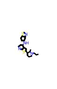 CCCN1CCC=C(c2cc3c(Nc4ccc5scnc5c4)ccnc3s2)C1C